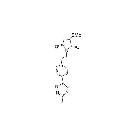 CSC1CC(=O)N(CCc2ccc(-c3nnc(C)nn3)cc2)C1=O